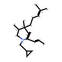 C=C(/C=C/C)N(CC1CC1)CC(C)C(C)(C)CCC=C(C)C